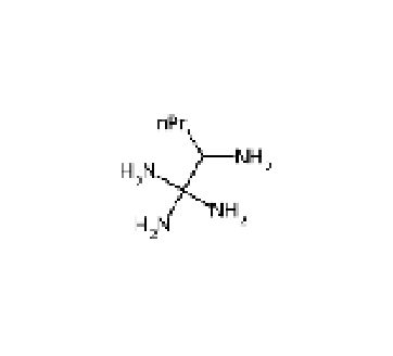 CCCC(N)C(N)(N)N